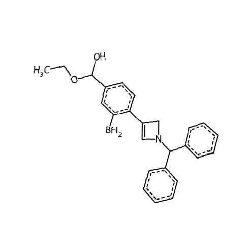 Bc1cc(C(O)OCC)ccc1C1=CN(C(c2ccccc2)c2ccccc2)C1